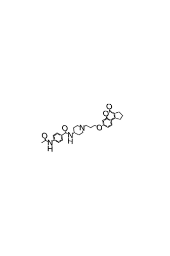 CC(=O)Nc1ccc(C(=O)NC2CCN(CCCOc3ccc4c5c(c(=O)oc4c3)CCC5)CC2)cc1